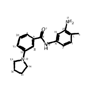 Cc1ccc(NC(=O)c2cccc(N3CCCC3)c2)cc1N